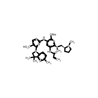 C=CC(=O)Nc1cc(Nc2ncc(C(=O)O)c(N3CC(C)(C)c4nc(C)ccc43)n2)c(OC)nc1N(C)C[C@@H]1CCCN1C